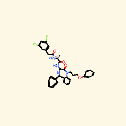 C[C@H](NC(=O)Cc1cc(F)cc(F)c1)C(=O)NC1N=C(c2ccccc2)c2ccccc2N(CCCOc2ccccc2)C1=O